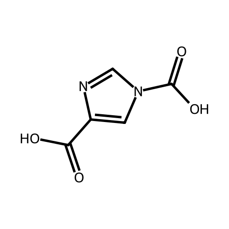 O=C(O)c1cn(C(=O)O)cn1